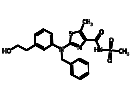 Cc1sc(N(Cc2ccccc2)c2cccc(CCO)c2)nc1C(=O)NS(C)(=O)=O